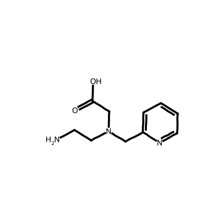 NCCN(CC(=O)O)Cc1ccccn1